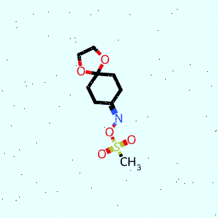 CS(=O)(=O)ON=C1CCC2(CC1)OCCO2